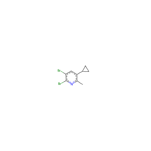 Cc1nc(Br)c(Br)cc1C1CC1